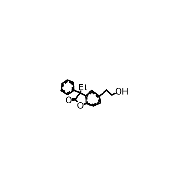 CCC1(c2ccccc2)C(=O)Oc2ccc(CCO)cc21